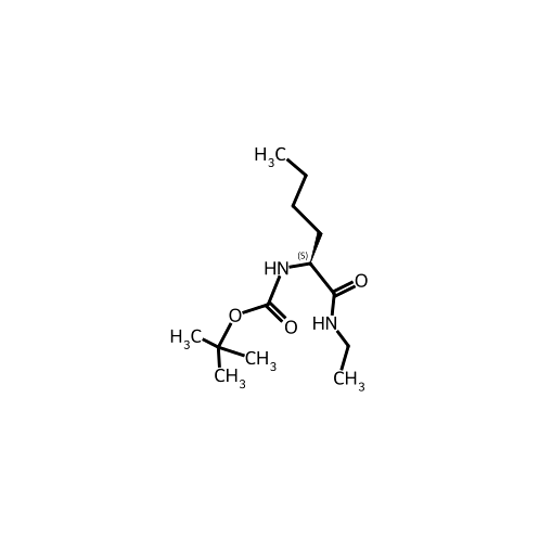 CCCC[C@H](NC(=O)OC(C)(C)C)C(=O)NCC